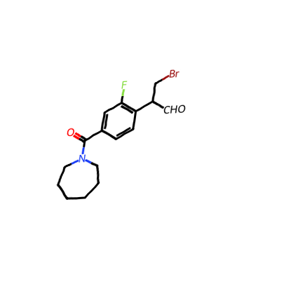 O=CC(CBr)c1ccc(C(=O)N2CCCCCC2)cc1F